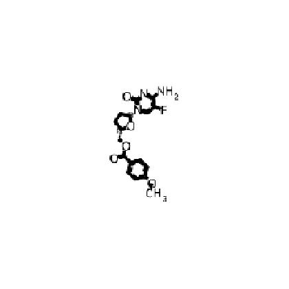 COc1ccc(C(=O)OC[C@@H]2CC[C@H](n3cc(F)c(N)nc3=O)O2)cc1